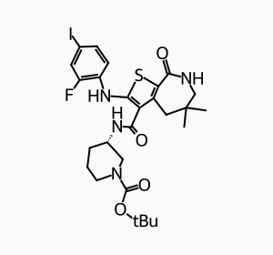 CC1(C)CNC(=O)c2sc(Nc3ccc(I)cc3F)c(C(=O)N[C@H]3CCCN(C(=O)OC(C)(C)C)C3)c2C1